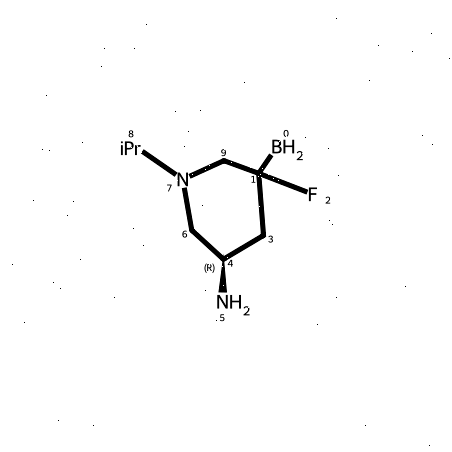 BC1(F)C[C@@H](N)CN(C(C)C)C1